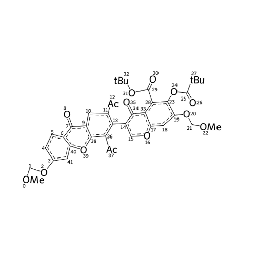 COCOc1ccc2c(=O)c3cc(C(C)=O)c(-c4coc5cc(OCOC)c(OC(=O)C(C)(C)C)c(C(=O)OC(C)(C)C)c5c4=O)c(C(C)=O)c3oc2c1